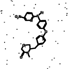 CCN(c1ccc(Oc2ccc(CC3COCC(=O)N3C)cc2)cc1)c1ccc([N+](=O)[O-])cn1